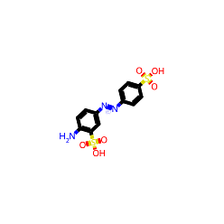 Nc1ccc(/N=N/c2ccc(S(=O)(=O)O)cc2)cc1S(=O)(=O)O